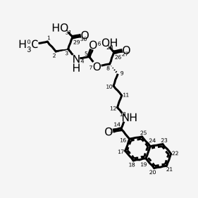 CCC[C@H](NC(=O)O[C@@H](CCCCNC(=O)c1ccc2ccccc2c1)C(=O)O)C(=O)O